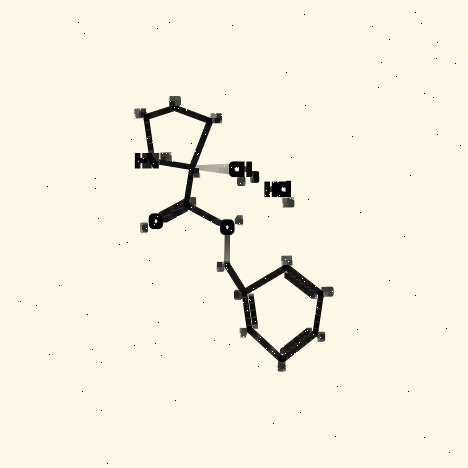 C[C@@]1(C(=O)OCc2ccccc2)CCCN1.Cl